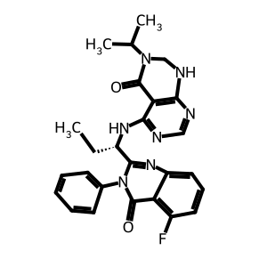 CC[C@H](Nc1ncnc2c1C(=O)N(C(C)C)CN2)c1nc2cccc(F)c2c(=O)n1-c1ccccc1